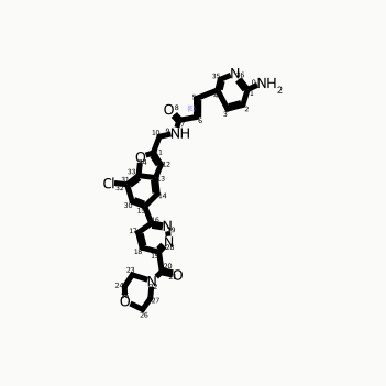 Nc1ccc(/C=C/C(=O)NCc2cc3cc(-c4ccc(C(=O)N5CCOCC5)nn4)cc(Cl)c3o2)cn1